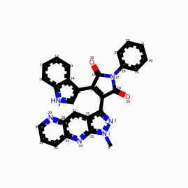 Cn1nc(C2=C(c3c[nH]c4ccccc34)C(=O)N(c3ccccc3)C2=O)c2cc3ncccc3nc21